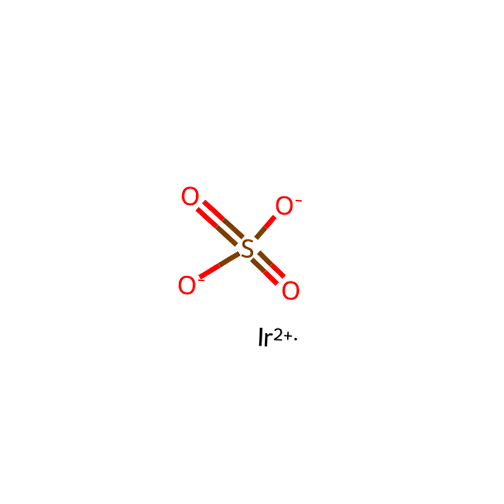 O=S(=O)([O-])[O-].[Ir+2]